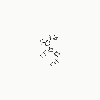 CC(C)NC(=O)c1cc(-c2sc(-c3noc(CC(C)(C)OC=O)n3)nc2CC2CCCCC2)cc(C2(C)CC2)c1